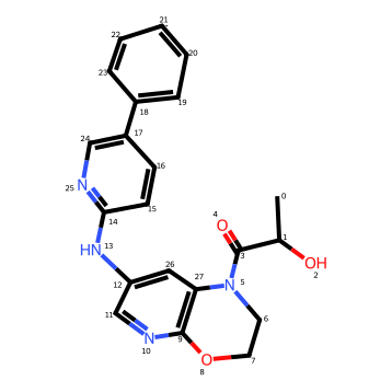 CC(O)C(=O)N1CCOc2ncc(Nc3ccc(-c4cc[c]cc4)cn3)cc21